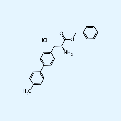 Cc1ccc(-c2ccc(C[C@H](N)C(=O)OCc3ccccc3)cc2)cc1.Cl